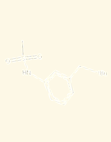 CC(C)(C)Cc1cccc(NS(C)(=O)=O)c1